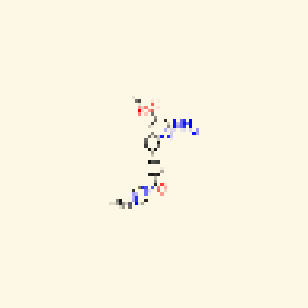 CC(C)OC(=O)C1=Cc2ccc(-c3ccc(C(=O)N4CCN(C(C)(C)C)CC4)cc3)cc2N=C(N)C1